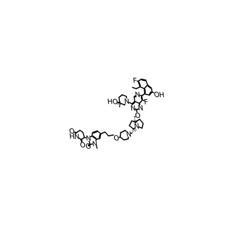 CCc1c(F)ccc2cc(O)cc(-c3ncc4c(N5CCC[C@@](C)(O)C5)nc(OC[C@]56CCCN5[C@H](CN5CCC(OCCCc7ccc8c(c7)n(C)c(=O)n8C7CCC(=O)NC7=O)CC5)CC6)nc4c3F)c12